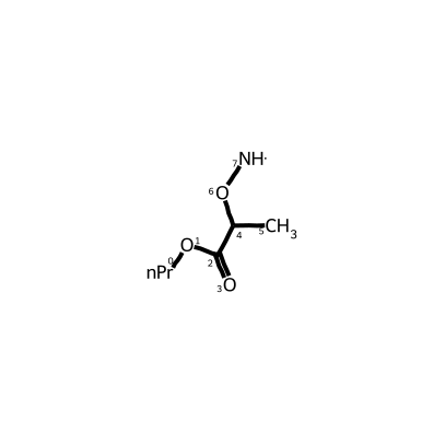 CCCOC(=O)C(C)O[NH]